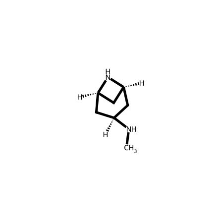 CN[C@H]1C[C@@H]2C[C@H](C1)N2